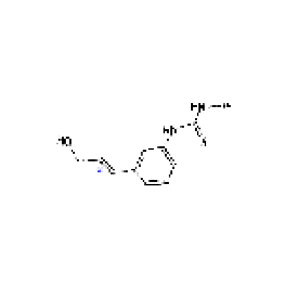 CC(C)NC(=S)Nc1cccc(/C=C/CO)c1